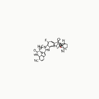 CCC1C(=O)Nc2c(C#N)ccc3cc(-c4nc5cc(C(=O)N6C[C@H]7CC[C@@H]6[C@@H]7N)cc(F)c5n4C)n1c23